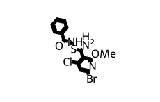 COc1nc(Br)cc(Cl)c1C(N)SNC(=O)c1ccccc1